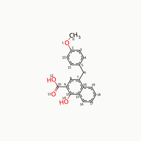 COc1ccc(Cc2cc(C(=O)O)c(O)c3ccccc23)cc1